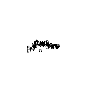 O=C(NC12CC(C1)C2)O[C@H]1CO[C@@H](c2cc(Nc3nccc4nc(OCC(F)(F)F)cn34)n[nH]2)[C@@H]1F